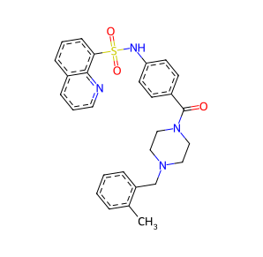 Cc1ccccc1CN1CCN(C(=O)c2ccc(NS(=O)(=O)c3cccc4cccnc34)cc2)CC1